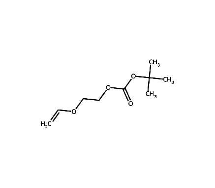 C=COCCOC(=O)OC(C)(C)C